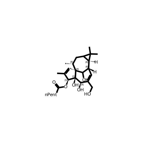 CCCCCC(=O)O[C@H]1C(C)=C[C@]23C(O)[C@@H](C=C(CO)[C@@H](O)[C@]12O)[C@H]1C(C[C@H]3C)C1(C)C